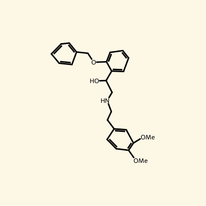 COc1ccc(CCNCC(O)c2ccccc2OCc2ccccc2)cc1OC